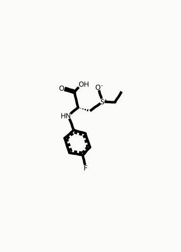 CC[S+]([O-])C[C@H](Nc1ccc(F)cc1)C(=O)O